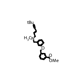 COC(=O)c1cccc(COc2cccc(CN(C)CC=CC#CC(C)(C)C)c2)c1